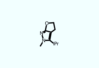 CC(C)c1c2c(nn1C)OCC2